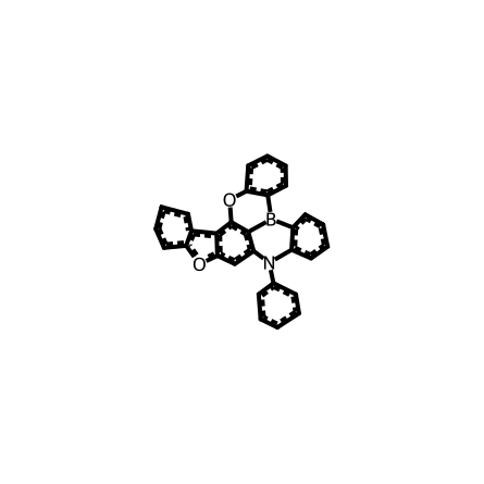 c1ccc(N2c3ccccc3B3c4ccccc4Oc4c3c2cc2oc3ccccc3c42)cc1